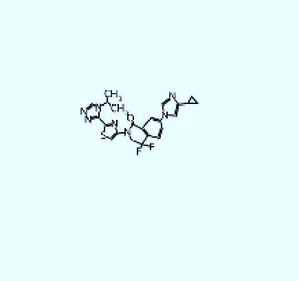 CC(C)n1cnnc1-c1nc(N2CC(F)(F)c3ccc(-n4cnc(C5CC5)c4)cc3C2=O)cs1